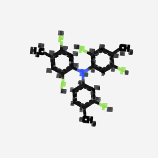 Cc1ccc(N(c2cc(F)c(C)cc2F)c2cc(F)c(C)cc2F)cc1F